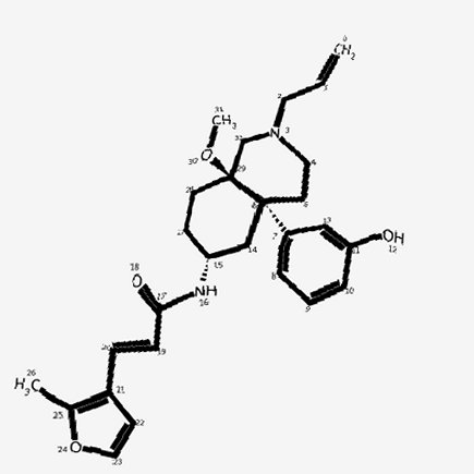 C=CCN1CC[C@@]2(c3cccc(O)c3)C[C@H](NC(=O)/C=C/c3ccoc3C)CC[C@]2(OC)C1